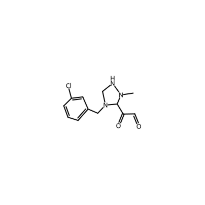 CN1NCN(Cc2cccc(Cl)c2)C1C(=O)C=O